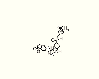 CS(=O)(=O)CCCNC(=O)C1CCc2[nH]c3ncnc(Nc4ccc5c(c4)CCS5(=O)=O)c3c2C1